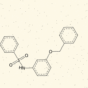 O=S(=O)(Nc1c[c]cc(OCc2ccccc2)c1)c1ccccc1